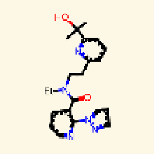 CCN(CCc1cccc(C(C)(C)O)n1)C(=O)c1cccnc1-n1cccn1